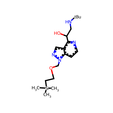 CC(C)(C)NCC(O)c1nccc2c1cnn2COCC[Si](C)(C)C